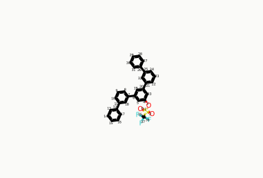 O=S(=O)(Oc1cc(-c2cccc(-c3ccccc3)c2)cc(-c2cccc(-c3ccccc3)c2)c1)C(F)(F)F